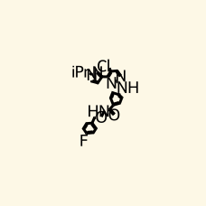 CC(C)n1ccc(-c2nc(Nc3ccc(C(=O)NOCc4ccc(F)cc4)cc3)ncc2Cl)n1